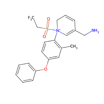 Cc1cc(Oc2ccccc2)ccc1[N+]1(S(=O)(=O)CC(F)(F)F)C=C(CN)C=CC1